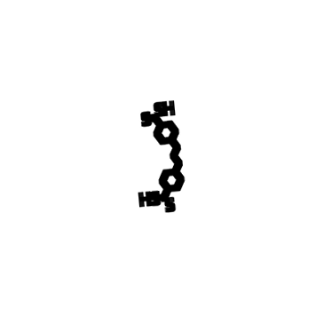 S=C(S)C1CCC(CCCC2CCC(C(=S)S)CC2)CC1